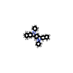 c1ccc(-n2c3cc4ccccc4cc3c3cc4c(cc32)c2cc3ccccc3cc2n4-c2ccccc2)cc1